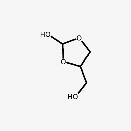 OCC1COC(O)O1